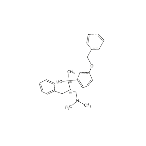 CN(C)C[C@H](Cc1ccccc1)[C@@](C)(O)c1cccc(OCc2ccccc2)c1